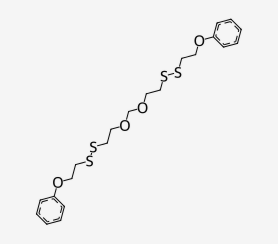 c1ccc(OCCSSCCOCOCCSSCCOc2ccccc2)cc1